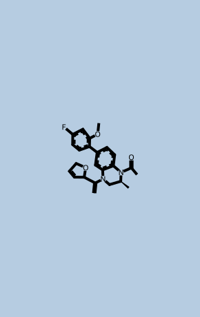 C=C(C1C=CCO1)N1C[C@H](C)N(C(C)=O)c2ccc(-c3ccc(F)cc3OC)cc21